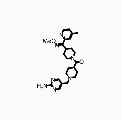 CO/N=C(\c1cc(C)ccn1)C1CCN(C(=O)C2CCN(Cc3cnc(N)nc3)CC2)CC1